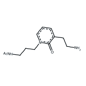 CC(=O)NCCCn1cccc(CCN)c1=O